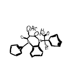 CC(=O)OC1C(=O)N(c2ccccc2)c2ccccc2N(C(C(N)=O)(c2ccccc2)C(C)C)C1=O